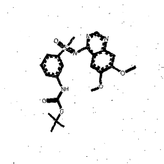 COc1cc2ncnc(N=S(C)(=O)c3cccc(NC(=O)OC(C)(C)C)c3)c2cc1OC